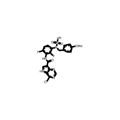 CCCS(=O)(=O)N(Cc1ccc(OC)cc1)c1ccc(F)c(NC(=O)c2c[nH]c3c(Cl)ncnc23)c1F